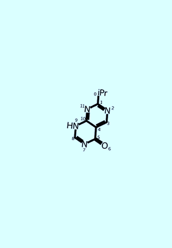 CC(C)c1ncc2c(=O)nc[nH]c2n1